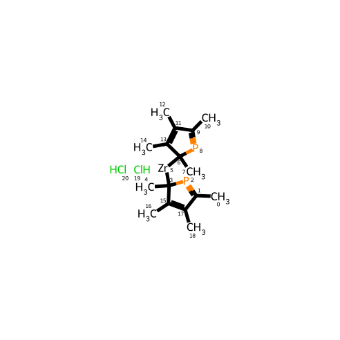 CC1=P[C](C)([Zr][C]2(C)P=C(C)C(C)=C2C)C(C)=C1C.Cl.Cl